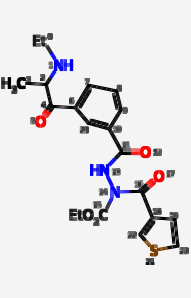 CCNC(C)C(=O)c1cccc(C(=O)NN(C(=O)OCC)C(=O)c2ccsc2)c1